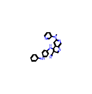 CN(c1cccnc1)c1cc2c(Nc3ccc(Nc4ccccc4)cc3)c(C#N)cnc2cn1